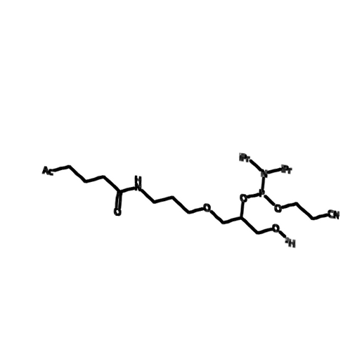 [2H]OCC(COCCCNC(=O)CCCC(C)=O)OP(OCCC#N)N(C(C)C)C(C)C